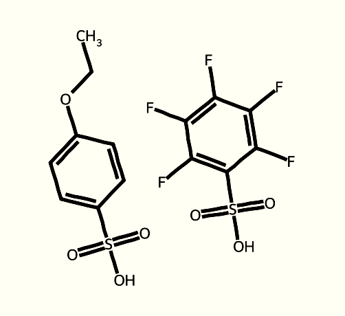 CCOc1ccc(S(=O)(=O)O)cc1.O=S(=O)(O)c1c(F)c(F)c(F)c(F)c1F